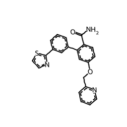 NC(=O)c1ccc(OCc2ccccn2)cc1-c1cccc(-c2nccs2)c1